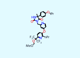 CCCc1nc(C(OCOC)(C(F)(F)F)C(F)(F)F)ccc1Oc1ccnc(CN2C(=O)NC(C)(c3ccc(OC(C)C)cc3)C2=O)c1